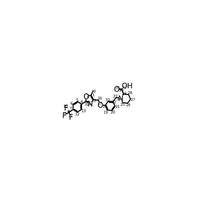 Cc1oc(-c2ccc(C(F)(F)F)cc2)nc1COc1cccc(CN2CCCCC2C(=O)O)c1